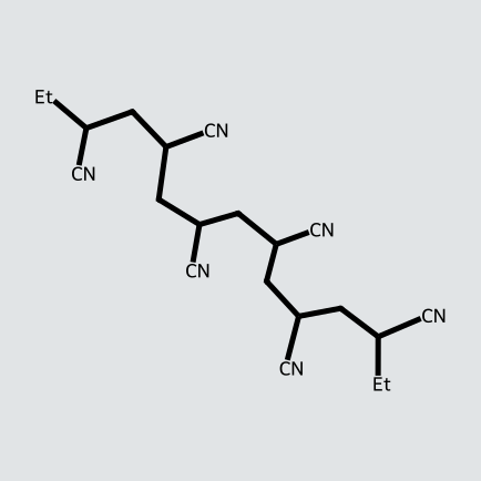 CCC(C#N)CC(C#N)CC(C#N)CC(C#N)CC(C#N)CC(C#N)CC